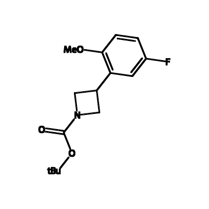 COc1ccc(F)cc1C1CN(C(=O)OC(C)(C)C)C1